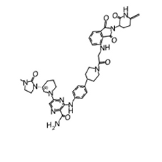 C=C1CCC(N2C(=O)c3cccc(NCC(=O)N4CCC(c5ccc(Nc6nc(N7CCC[C@@H](N8CCN(C)C8=O)C7)cnc6C(N)=O)cc5)CC4)c3C2=O)C(=O)N1